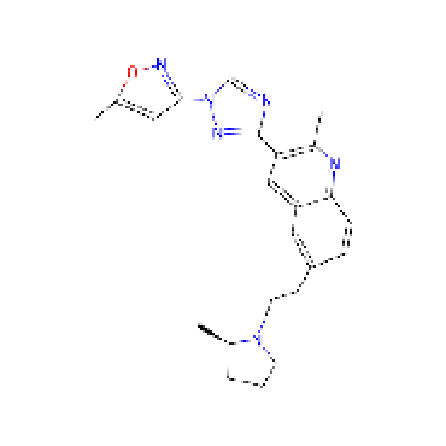 Cc1cc(-n2cnc(-c3cc4cc(CCN5CCC[C@H]5C)ccc4nc3C)n2)no1